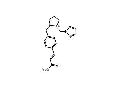 COC(=O)/C=C/c1ccc(CN2CCC[C@@H]2Cn2cccn2)cc1